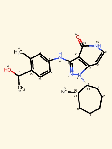 Cc1cc(Nc2nn([C@@H]3CCCCC[C@H]3C#N)c3cc[nH]c(=O)c23)ccc1C(O)C(F)(F)F